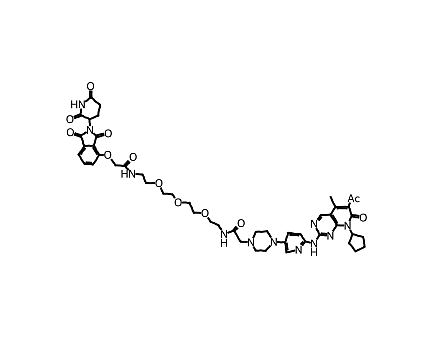 CC(=O)c1c(C)c2cnc(Nc3ccc(N4CCN(CC(=O)NCCOCCOCCOCCNC(=O)COc5cccc6c5C(=O)N(C5CCC(=O)NC5=O)C6=O)CC4)cn3)nc2n(C2CCCC2)c1=O